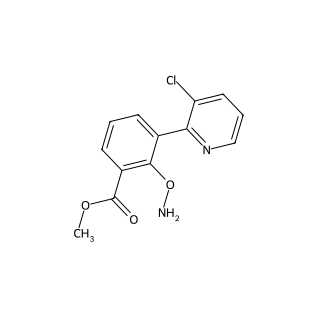 COC(=O)c1cccc(-c2ncccc2Cl)c1ON